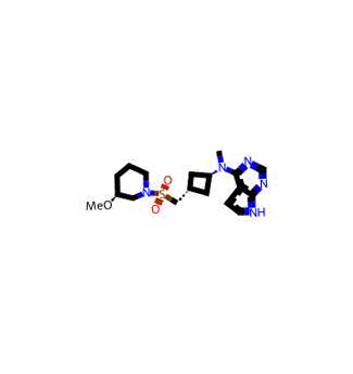 CO[C@@H]1CCCN(S(=O)(=O)C[C@H]2C[C@@H](N(C)c3ncnc4[nH]ccc34)C2)C1